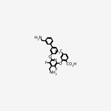 Cc1ccc(C(=O)O)c(Oc2nc(Oc3cccc(-c4cccc(CN)c4)c3)c(F)c(CN)c2F)c1